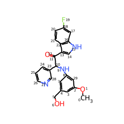 COc1cc(CO)cc(NC(C(=O)c2c[nH]c3cc(F)ccc23)c2cccnc2)c1